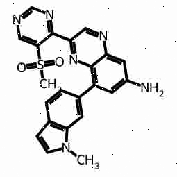 Cn1ccc2ccc(-c3cc(N)cc4ncc(-c5ncncc5S(C)(=O)=O)nc34)cc21